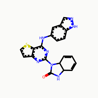 O=C1NC2C=CC=CC2N1c1nc(Nc2ccc3[nH]ncc3c2)c2sccc2n1